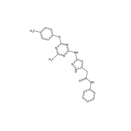 Cc1ccc(Oc2nc(C)nc(Nc3cc(CC(=O)Nc4ccccc4)[nH]n3)n2)cc1